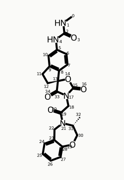 CNC(=O)Nc1ccc2c(c1)CC[C@]21OC(=O)N(CC(=O)N2Cc3ccccc3OC[C@H]2C)C1=O